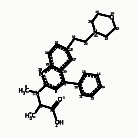 CC(C(=O)O)N(C)c1cc(-c2ccccc2)c2cc(CCN3CCOCC3)ccc2n1